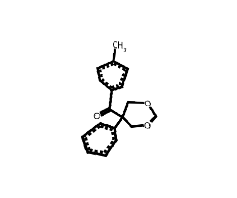 Cc1ccc(C(=O)C2(c3ccccc3)COCOC2)cc1